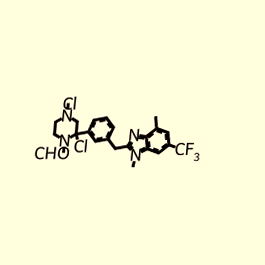 Cc1cc(C(F)(F)F)cc2c1nc(Cc1cccc(C3(Cl)CN(Cl)CCN3C=O)c1)n2C